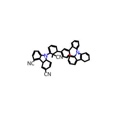 CC1(C#N)C(N2c3cccc(C#N)c3C3C=C(C#N)C=CC32)=CC=CC1c1cccc(-c2ccccc2-n2c3c(c4ccccc42)CCC=C3)c1